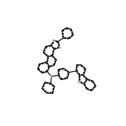 c1ccc(-c2nc3ccc4c5cccc(N(c6ccccc6)c6ccc(-c7cccc8c7oc7ccccc78)cc6)c5ccc4c3s2)cc1